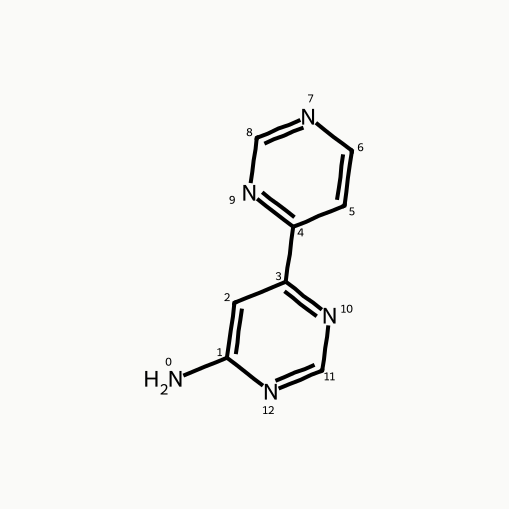 Nc1cc(-c2ccncn2)ncn1